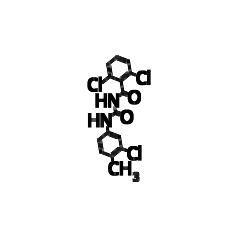 Cc1ccc(NC(=O)NC(=O)c2c(Cl)cccc2Cl)cc1Cl